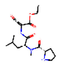 CCOC(=O)C(=C=O)NC(=O)[C@H](CC(C)C)N(C)C(=O)[C@@H]1CCCN1